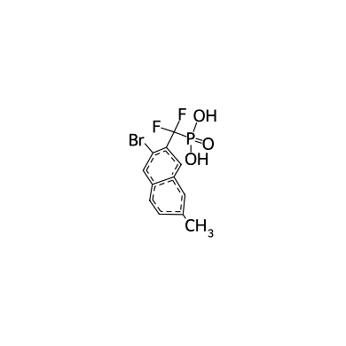 Cc1ccc2cc(Br)c(C(F)(F)P(=O)(O)O)cc2c1